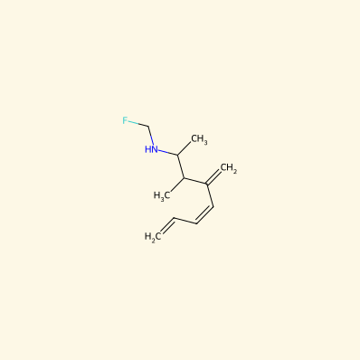 C=C/C=C\C(=C)C(C)C(C)NCF